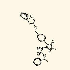 CC(OC(=O)Nc1c(-c2ccc(COC(CC(=O)O)Cc3ccccc3)cc2)c(=O)n(C)n1C)c1ccccc1